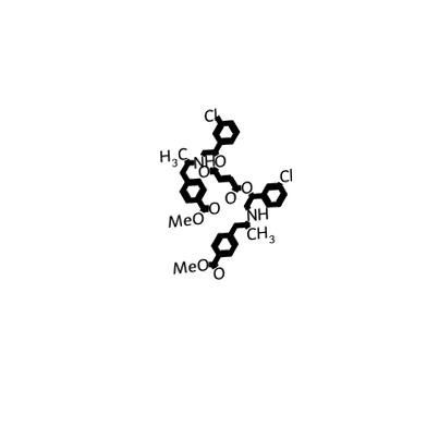 COC(=O)c1ccc(CC(C)NCC(OC(=O)/C=C/C(=O)OC(CNC(C)Cc2ccc(C(=O)OC)cc2)c2cccc(Cl)c2)c2cccc(Cl)c2)cc1